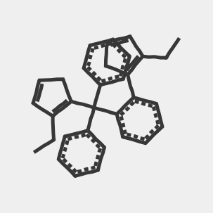 CCC1=C(c2ccccc2C(C2=C(CC)C=CC2)(c2ccccc2)c2ccccc2)CC=C1